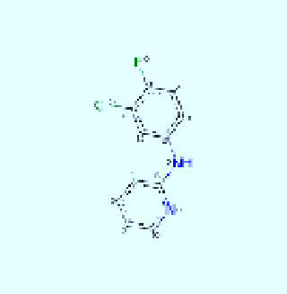 Fc1ccc(Nc2ccccn2)cc1Cl